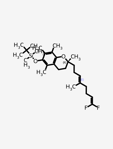 C/C(=C\CC[C@]1(C)CCc2c(C)c(O[Si](C)(C)C(C)(C)C)c(C)c(C)c2O1)CCC=C(F)F